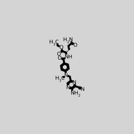 CCOC(=O)[C@H](CCC(N)=O)NC(=O)c1ccc(N(C)Cc2cnc(N)c(C#N)n2)cc1